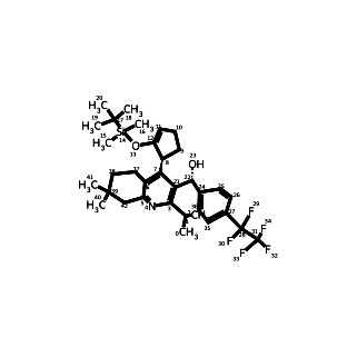 CC(C)c1nc2c(c([C@@H]3CCC=C3O[Si](C)(C)C(C)(C)C)c1[C@H](O)c1ccc(C(F)(F)C(F)(F)F)cc1)CCC(C)(C)C2